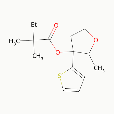 CCC(C)(C)C(=O)OC1(c2cccs2)CCOC1C